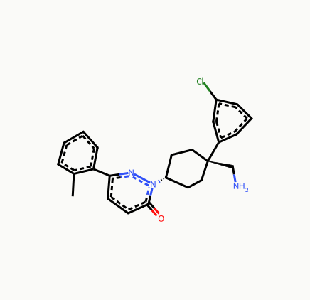 Cc1ccccc1-c1ccc(=O)n([C@H]2CC[C@@](CN)(c3cccc(Cl)c3)CC2)n1